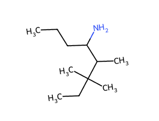 CCCC(N)C(C)C(C)(C)CC